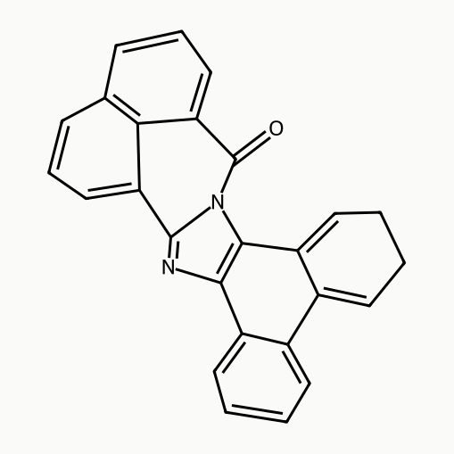 O=c1c2cccc3cccc(c32)c2nc3c4ccccc4c4c(c3n12)=CCCC=4